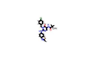 CC(=O)OC(C)(C)C(=O)Nc1cnc(Nc2ccc3nc(C)sc3c2)n(Cc2ccc(Cl)cc2)c1=O